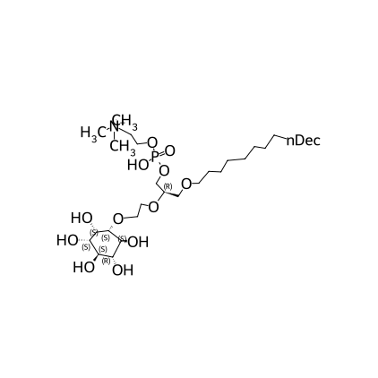 CCCCCCCCCCCCCCCCCCOC[C@H](COP(=O)(O)OCC[N+](C)(C)C)OCCO[C@@H]1[C@@H](O)[C@H](O)[C@@H](O)[C@H](O)[C@@H]1O